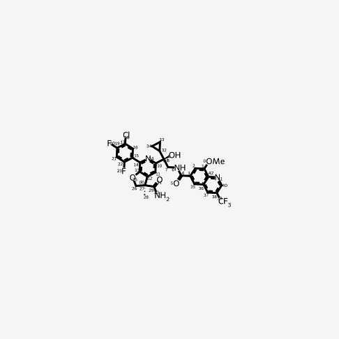 COc1cc(C(=O)NC[C@](O)(c2cc3c(c(-c4cc(Cl)c(F)cc4F)n2)OC[C@]3(C)C(N)=O)C2CC2)cc2cc(C(F)(F)F)cnc12